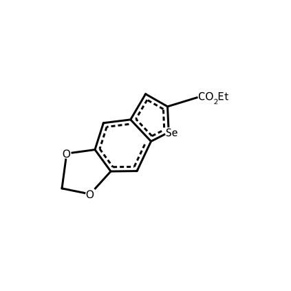 CCOC(=O)c1cc2cc3c(cc2[se]1)OCO3